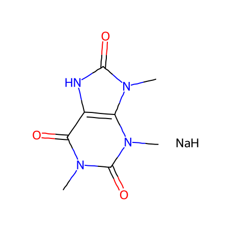 Cn1c(=O)c2[nH]c(=O)n(C)c2n(C)c1=O.[NaH]